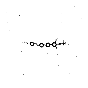 CCCc1ccc(CCc2ccc(-c3ccc(-c4cc(F)c(C#CC(F)(F)F)c(F)c4)cc3)cc2)cc1